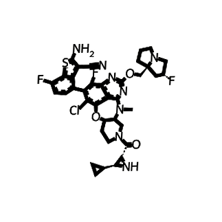 CN1c2nc(OC[C@@]34CCCN3C[C@H](F)C4)nc3c(F)c(-c4ccc(F)c5sc(N)c(C#N)c45)c(Cl)c(c23)OC2CCN(C(=O)[C@@H]3N[C@H]3C3CC3)CC21